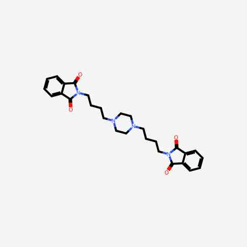 O=C1c2ccccc2C(=O)N1CCCCN1CCN(CCCCN2C(=O)c3ccccc3C2=O)CC1